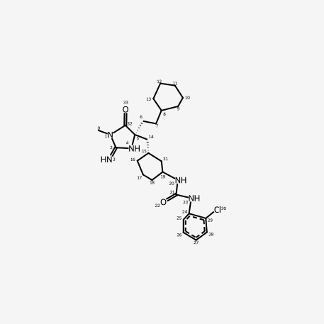 CN1C(=N)N[C@](CCC2CCCCC2)(C[C@H]2CCCC(NC(=O)Nc3ccccc3Cl)C2)C1=O